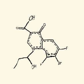 CCC(O)n1cc(C(=O)O)c(=O)c2cc(F)c(Br)c(F)c21